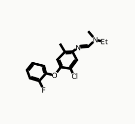 CCN(C)C=Nc1cc(Cl)c(Oc2ccccc2F)cc1C